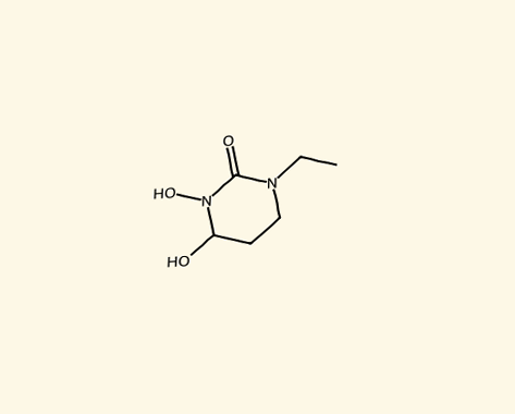 CCN1CCC(O)N(O)C1=O